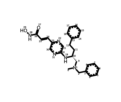 CN(Cc1ccccc1)C[C@@H](CCc1ccccc1)Nc1cnc(/C=C/C(=O)NO)cn1